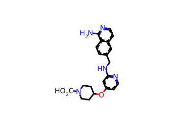 Nc1nccc2cc(CNc3cc(OC4CCN(C(=O)O)CC4)ccn3)ccc12